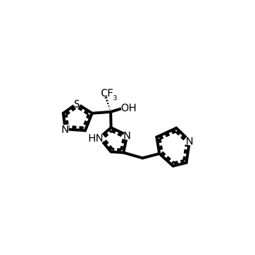 O[C@@](c1nc(Cc2ccncc2)c[nH]1)(c1cncs1)C(F)(F)F